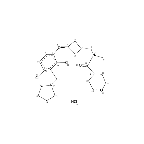 CN(C[C@H]1C[C@H](Oc2ccc(Cl)c(CN3CCCC3)c2Cl)C1)C(=O)C1CCOCC1.Cl